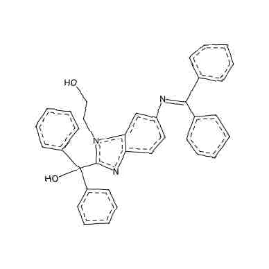 OCCn1c(C(O)(c2ccccc2)c2ccccc2)nc2ccc(N=C(c3ccccc3)c3ccccc3)cc21